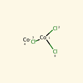 [Cl][Co]([Cl])[Cl].[Co]